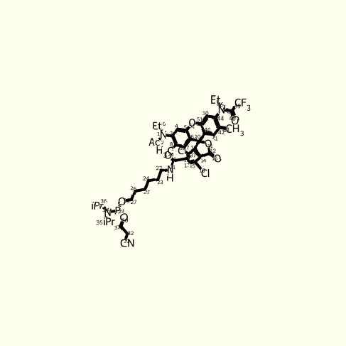 CCN(C(C)=O)c1cc2c(cc1C)C1(OC(=O)c3c(Cl)cc(C(=O)NCCCCCCOP(OCCC#N)N(C(C)C)C(C)C)c(Cl)c31)c1cc(C)c(N(CC)C(=O)C(F)(F)F)cc1O2